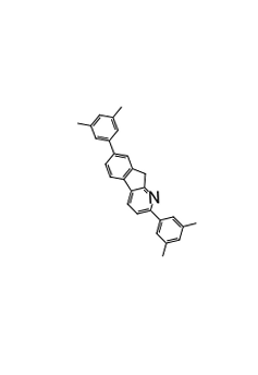 Cc1cc(C)cc(-c2ccc3c(c2)Cc2nc(-c4cc(C)cc(C)c4)ccc2-3)c1